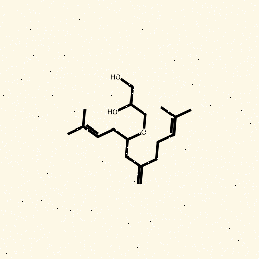 C=C(CCC=C(C)C)CC(CC=C(C)C)OCC(O)CO